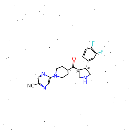 N#Cc1cnc(N2CCC(C(=O)[C@@H]3CNC[C@H]3c3ccc(F)c(F)c3)CC2)cn1